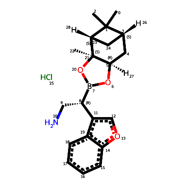 CC1(C)[C@@H]2C[C@H]3OB([C@@H](CN)c4coc5ccccc45)O[C@@]3(C)[C@H]1C2.Cl